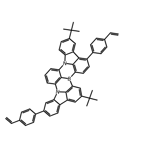 C=Cc1ccc(-c2ccc3c4cc(C(C)(C)C)cc5c4n(c3c2)-c2cccc3c2B5c2ccc(-c4ccc(C=C)cc4)c4c5cc(C(C)(C)C)ccc5n-3c24)cc1